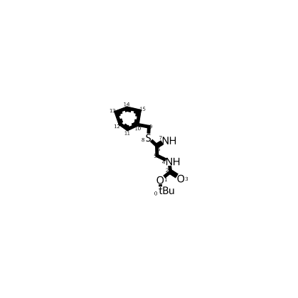 CC(C)(C)OC(=O)NCC(=N)SCc1ccccc1